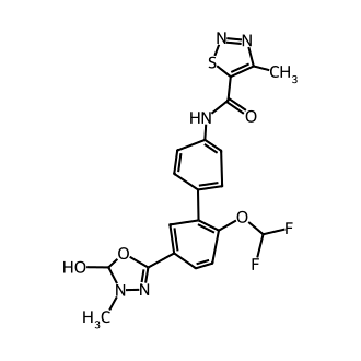 Cc1nnsc1C(=O)Nc1ccc(-c2cc(C3=NN(C)C(O)O3)ccc2OC(F)F)cc1